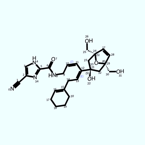 N#Cc1c[nH]c(C(=O)NC/C=C\C(=C/CC2=CCCCC2)[C@]2(O)C[C@@]3(CO)C=C[C@@](CO)(C2)O3)n1